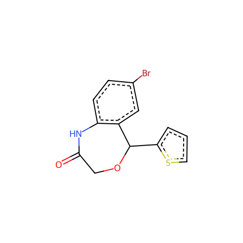 O=C1COC(c2cccs2)c2cc(Br)ccc2N1